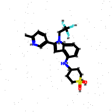 Cc1ccc(-c2cc3c(NC4CCS(=O)(=O)CC4)cccc3n2CC(F)(F)F)cn1